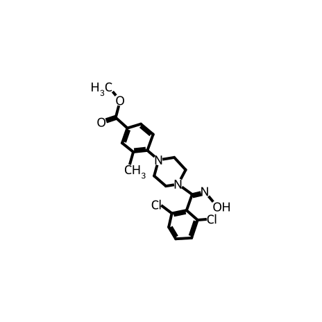 COC(=O)c1ccc(N2CCN(/C(=N/O)c3c(Cl)cccc3Cl)CC2)c(C)c1